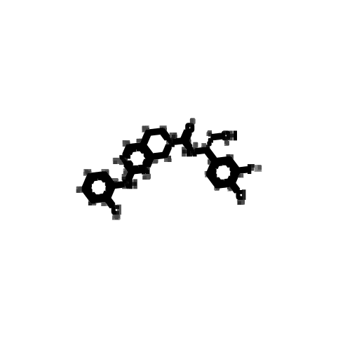 O=C(N[C@H](CO)c1ccc(Cl)c(F)c1)N1CCc2cnc(Nc3ccccc3Cl)nc2C1